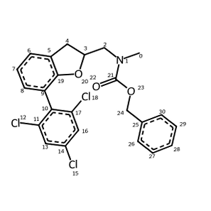 CN(CC1Cc2cccc(-c3c(Cl)cc(Cl)cc3Cl)c2O1)C(=O)OCc1ccccc1